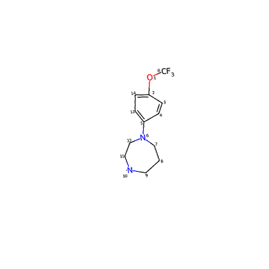 FC(F)(F)Oc1ccc(N2CCC[N]CC2)cc1